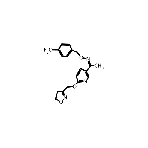 CC(=NOCc1ccc(C(F)(F)F)cc1)c1ccc(OCC2=NOCC2)nc1